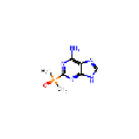 CP(C)(=O)c1nc(N)c2nc[nH]c2n1